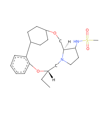 CC[C@H]1CN2CCC(NS(C)(=O)=O)[C@@H]2COC2CCC(CC2)c2ccccc2O1